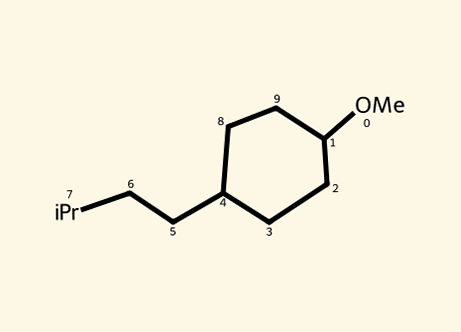 COC1CCC(CCC(C)C)CC1